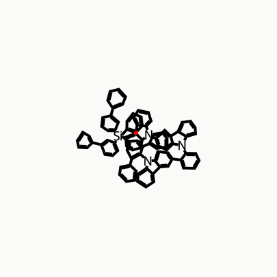 c1ccc(-c2cccc([Si](c3ccccc3)(c3cccc(-c4ccccc4)c3)c3cc(-c4ccccc4)c(-n4c5ccccc5c5cc(-c6ccccc6-n6c7ccccc7c7cc(-n8c9ccccc9c9ccccc98)ccc76)ccc54)c(-c4ccccc4)c3)c2)cc1